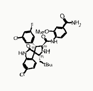 COc1cc(C(N)=O)ccc1NC(=O)[C@H]1N[C@H](CC(C)(C)C)C2(C(=O)Nc3cc(Cl)ccc32)[C@@H]1c1cc(F)cc(Cl)c1